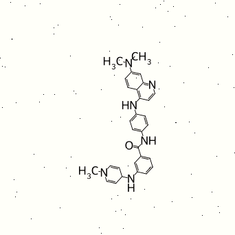 CN1C=CC(Nc2cccc(C(=O)Nc3ccc(Nc4ccnc5cc(N(C)C)ccc45)cc3)c2)C=C1